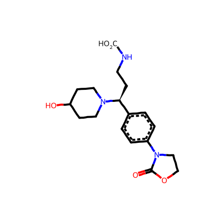 O=C(O)NCC[C@@H](c1ccc(N2CCOC2=O)cc1)N1CCC(O)CC1